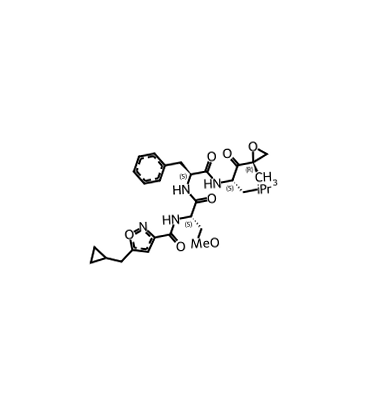 COC[C@H](NC(=O)c1cc(CC2CC2)on1)C(=O)N[C@@H](Cc1ccccc1)C(=O)N[C@@H](CC(C)C)C(=O)[C@@]1(C)CO1